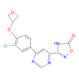 O=c1[nH]c(-c2cc(-c3ccc(OC4COC4)c(Cl)c3)ncn2)no1